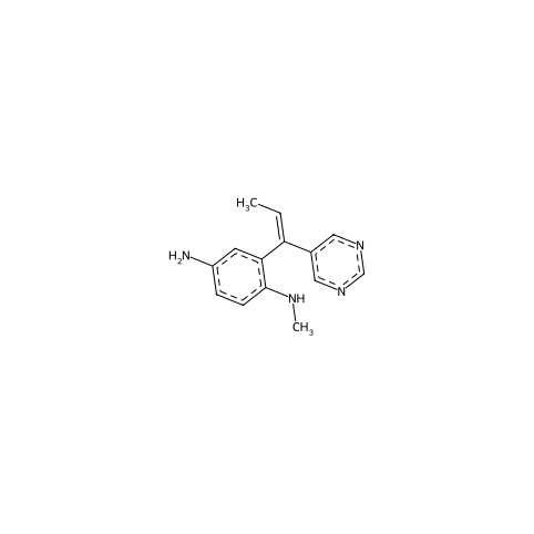 CC=C(c1cncnc1)c1cc(N)ccc1NC